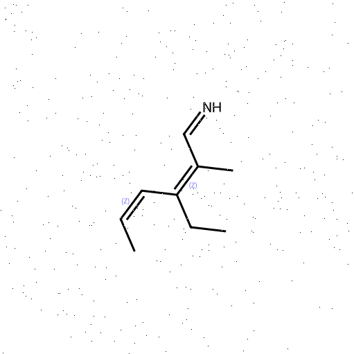 C/C=C\C(CC)=C(\C)C=N